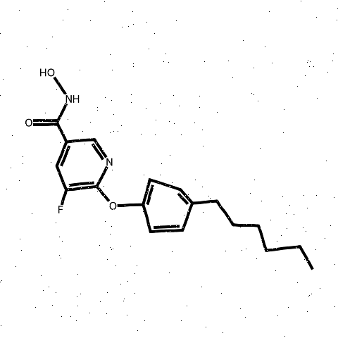 CCCCCCc1ccc(Oc2ncc(C(=O)NO)cc2F)cc1